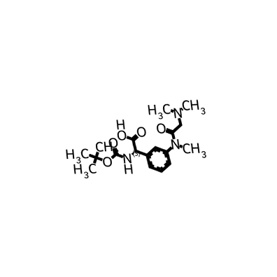 CN(C)CC(=O)N(C)c1cccc([C@H](NC(=O)OC(C)(C)C)C(=O)O)c1